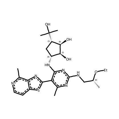 CCO[C@H](C)CNc1nc(C)c(-c2nc3c(C)nccc3s2)c(N[C@@H]2C[C@H](C(C)(C)O)[C@@H](O)[C@H]2O)n1